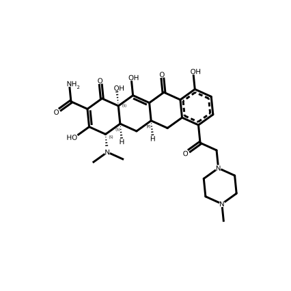 CN1CCN(CC(=O)c2ccc(O)c3c2C[C@H]2C[C@H]4[C@H](N(C)C)C(O)=C(C(N)=O)C(=O)[C@@]4(O)C(O)=C2C3=O)CC1